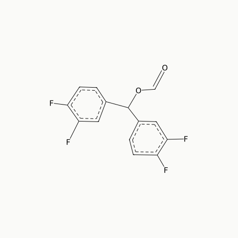 O=COC(c1ccc(F)c(F)c1)c1ccc(F)c(F)c1